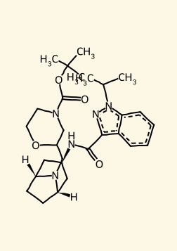 CC(C)n1nc(C(=O)N[C@@H]2C[C@H]3CC[C@@H](C2)N3CC2CN(C(=O)OC(C)(C)C)CCO2)c2ccccc21